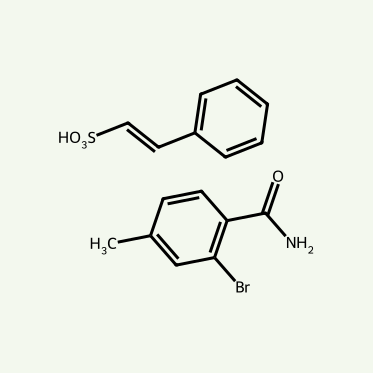 Cc1ccc(C(N)=O)c(Br)c1.O=S(=O)(O)C=Cc1ccccc1